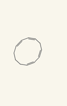 [C]1=CCCCC=CC=CCC=C1